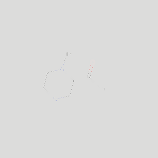 CC(C)C(=O)[C@@H]1CNCCN1C(C)C